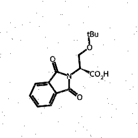 CC(C)(C)OC[C@@H](C(=O)O)N1C(=O)c2ccccc2C1=O